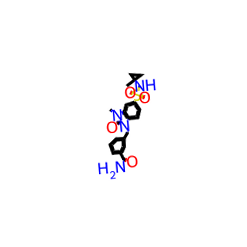 Cn1c(=O)n(Cc2cccc(C(N)=O)c2)c2ccc(S(=O)(=O)NC3(C)CC3)cc21